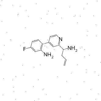 C=CCC(N)c1cc(-c2ccc(F)cc2N)ccn1